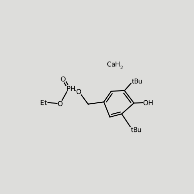 CCO[PH](=O)OCc1cc(C(C)(C)C)c(O)c(C(C)(C)C)c1.[CaH2]